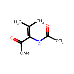 COC(=O)C(NC(=O)C(Cl)(Cl)Cl)=C(C)C